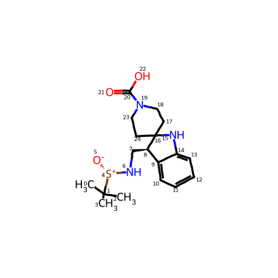 CC(C)(C)[S@+]([O-])NC[C@@H]1c2ccccc2NC12CCN(C(=O)O)CC2